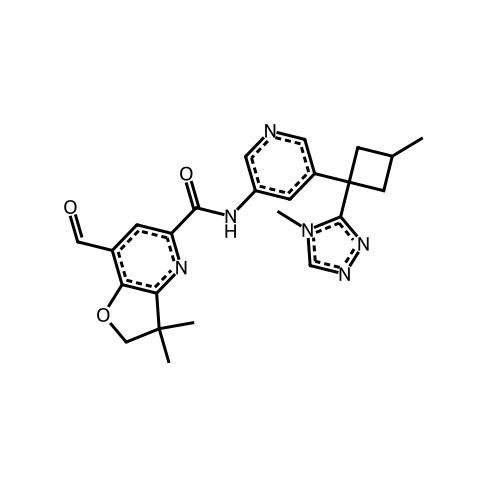 CC1CC(c2cncc(NC(=O)c3cc(C=O)c4c(n3)C(C)(C)CO4)c2)(c2nncn2C)C1